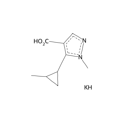 CC1CC1c1c(C(=O)O)cnn1C.[KH]